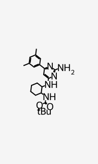 Cc1cc(C)cc(-c2cc(NC3CCCCC3NC(=O)OC(C)(C)C)nc(N)n2)c1